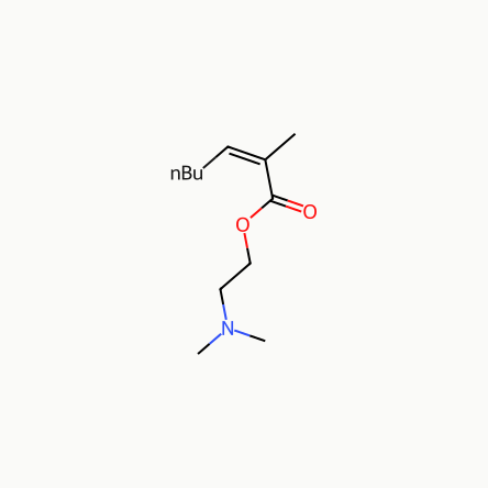 CCCCC=C(C)C(=O)OCCN(C)C